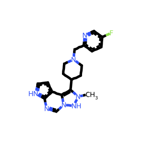 CN1NN2C=Nc3[nH]ccc3C2=C1C1CCN(Cc2ccc(F)cn2)CC1